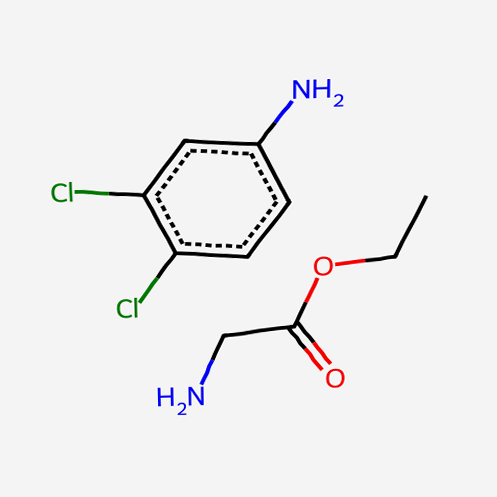 CCOC(=O)CN.Nc1ccc(Cl)c(Cl)c1